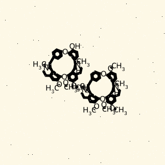 COc1cc2c3cc1Oc1c(OC)c(OC)cc4c1[C@@H](Cc1ccc(O)c(c1)Oc1ccc(cc1)C[C@@H]3N(C)CC2)N(C)CC4.COc1ccc2cc1Oc1ccc(cc1)C[C@H]1c3cc(c(OC)cc3CCN1C)Oc1c(OC)c(OC)cc3c1[C@H](C2)N(C)CC3